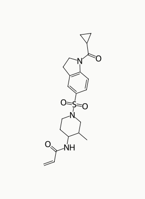 C=CC(=O)NC1CCN(S(=O)(=O)c2ccc3c(c2)CCN3C(=O)C2CC2)CC1C